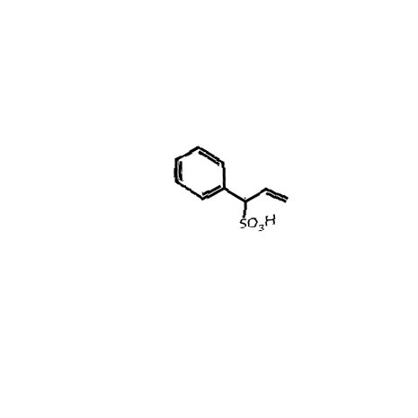 C=C[C](c1ccccc1)S(=O)(=O)O